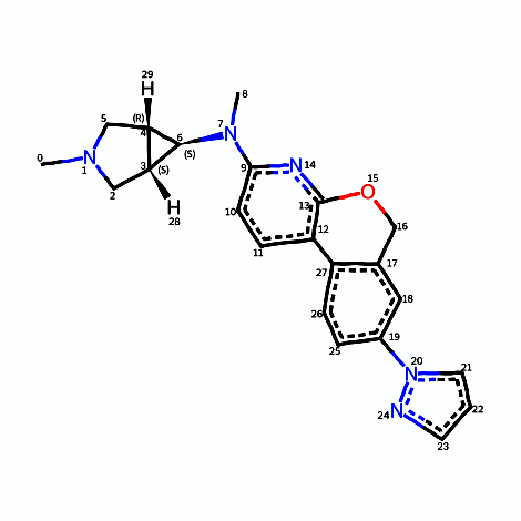 CN1C[C@@H]2[C@H](C1)[C@H]2N(C)c1ccc2c(n1)OCc1cc(-n3cccn3)ccc1-2